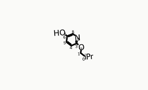 CC(C)COc1ccc(O)cn1